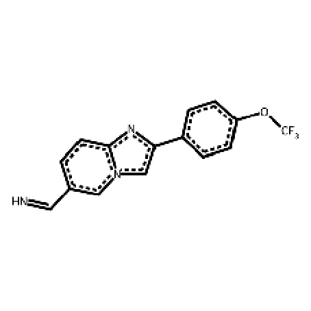 N=Cc1ccc2nc(-c3ccc(OC(F)(F)F)cc3)cn2c1